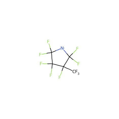 FC(F)(F)C1(F)C(F)(F)[N]C(F)(F)C1(F)F